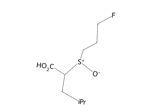 CC(C)CC(C(=O)O)[S+]([O-])CCCF